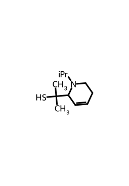 CC(C)N1CCC=CC1C(C)(C)S